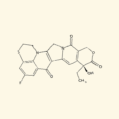 CC[C@@]1(O)C(=O)OCc2c1cc1n(c2=O)Cc2c-1c(=O)c1cc(F)cc3c1n2CCS3